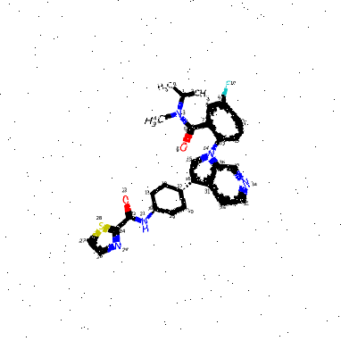 CC(C)N(C)C(=O)c1cc(F)ccc1-n1cc([C@H]2CC[C@H](NC(=O)c3nccs3)CC2)c2ccncc21